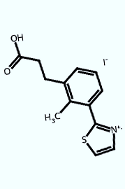 Cc1c(CCC(=O)O)cccc1C1=[N+]C=CS1.[I-]